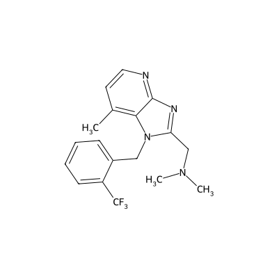 Cc1ccnc2nc(CN(C)C)n(Cc3ccccc3C(F)(F)F)c12